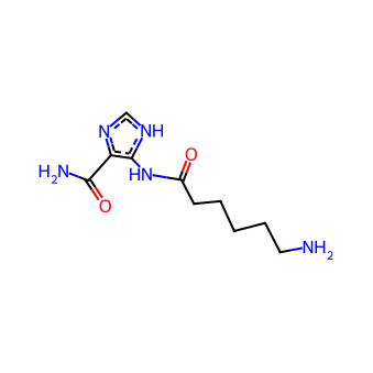 NCCCCCC(=O)Nc1[nH]cnc1C(N)=O